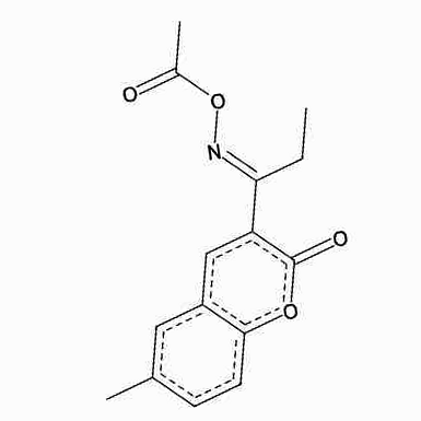 CCC(=NOC(C)=O)c1cc2cc(C)ccc2oc1=O